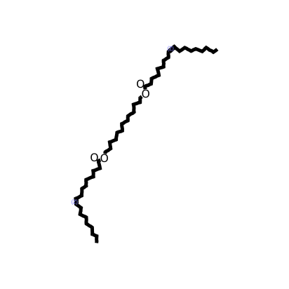 CCCCCCCC/C=C\CCCCCCCC(=O)OCCCCCCCCCCCCCOC(=O)CCCCCCC/C=C\CCCCCCCC